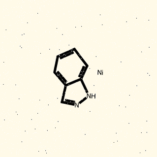 [Ni].c1ccc2[nH]ncc2c1